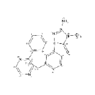 CCc1cc(C2(c3cccc(-c4cnccn4)c3)N=C(N)N(C)C2=O)ccn1